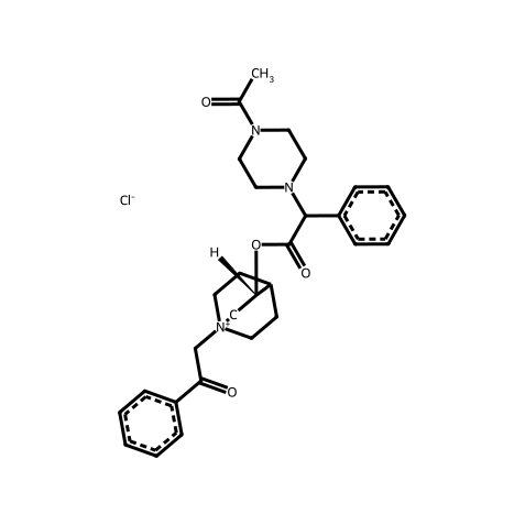 CC(=O)N1CCN(C(C(=O)O[C@H]2C[N+]3(CC(=O)c4ccccc4)CCC2CC3)c2ccccc2)CC1.[Cl-]